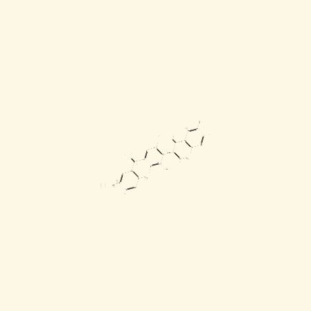 CC(=O)c1cc2c(=O)c3cc(O)ccc3oc2c(C(C)=O)c1-c1coc2ccc(O)cc2c1=O